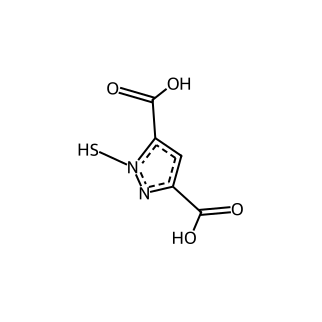 O=C(O)c1cc(C(=O)O)n(S)n1